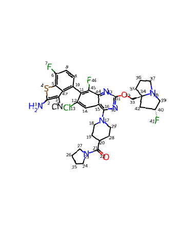 N#Cc1c(N)sc2c(F)ccc(-c3c(Cl)cc4c(N5CCC(C(=O)N6CCCC6)CC5)nc(OC[C@@]56CCCN5C[C@H](F)C6)nc4c3F)c12